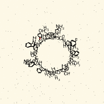 CCCC[C@H]1C(=O)N(C)CC(=O)N[C@@H](CC(=O)O)C(=O)N[C@@H](C(C)C)C(=O)N(C)[C@@H](Cc2ccccc2)C(=O)N[C@@H](Cc2ccc(CN)cc2)C(=O)N(C)CC(=O)N[C@@H](Cc2c[nH]c3ccccc23)C(=O)N[C@@H](Cc2ccc(O)cc2)C(=O)N[C@@H](CC(C)C)C(=O)N[C@H](C(=O)NCC(N)=O)CSCC(=O)N[C@@H](Cc2cccc(F)c2)C(=O)N(C)[C@@H](Cc2ccccc2)C(=O)N1C